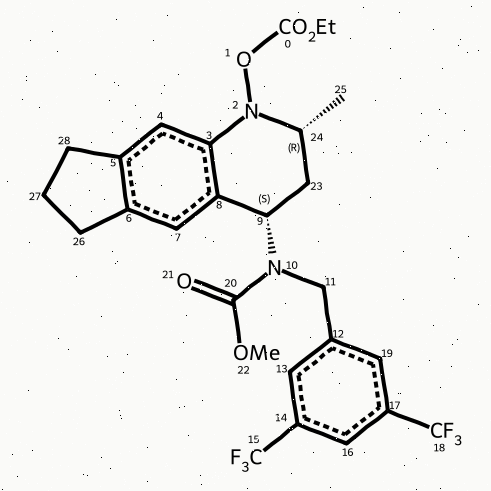 CCOC(=O)ON1c2cc3c(cc2[C@@H](N(Cc2cc(C(F)(F)F)cc(C(F)(F)F)c2)C(=O)OC)C[C@H]1C)CCC3